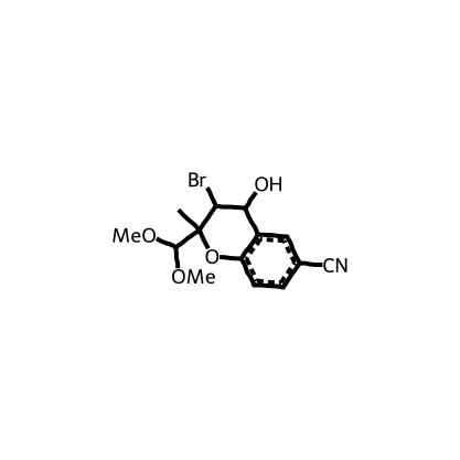 COC(OC)C1(C)Oc2ccc(C#N)cc2C(O)C1Br